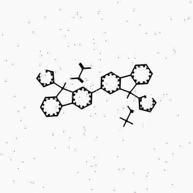 C=C(C)C(=O)OC1(c2ccoc2)c2ccccc2-c2ccc(-c3ccc4c(c3)C(OC(=O)C(C)(C)C)(c3ccco3)c3ccccc3-4)cc21